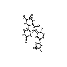 Cc1cc(-c2ccc(F)c(NC(=O)C3=CN(C)C(=O)C[C@H]3c3ccc(F)cc3)c2)n[nH]1